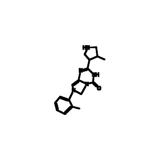 Cc1ccccc1N1C=C2N=C(C3CNCC3C)NC(=O)N2C1